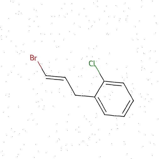 Clc1ccccc1CC=CBr